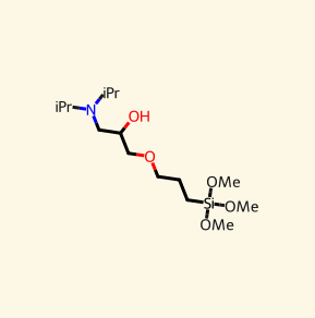 CO[Si](CCCOCC(O)CN(C(C)C)C(C)C)(OC)OC